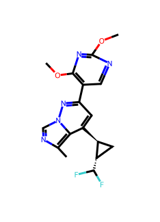 COc1ncc(-c2cc([C@H]3C[C@@H]3C(F)F)c3c(C)ncn3n2)c(OC)n1